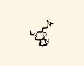 CCN1Cc2cccnc2OC(CCN(C)C)C1